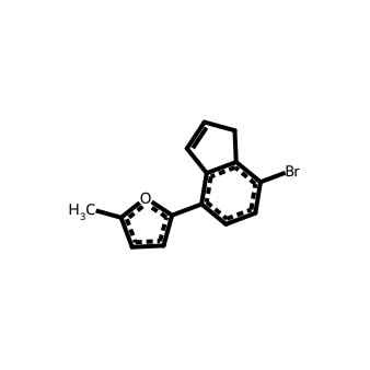 Cc1ccc(-c2ccc(Br)c3c2C=CC3)o1